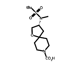 CN([C@H]1COC2(CCN(C(=O)O)CC2)C1)S(=O)(=O)C(C)(C)C